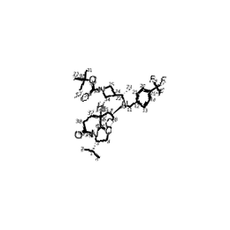 CC(C)[C@H]1CO[C@]23CC[C@H](N(Cc4ccc(C(F)(F)F)cc4)[C@@H](C)C4CN(C(=O)OC(C)(C)C)C4)C[C@H]2CCC(=O)N13